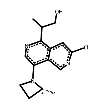 CC(CO)c1ncc(N2CC[C@H]2C)c2cnc(Cl)cc12